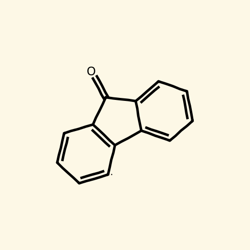 O=C1c2ccc[c]c2-c2ccccc21